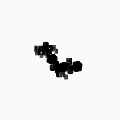 CCC(C(=O)Oc1ccc(SCC(C)(C)C(=O)O)cc1)c1ccc(NC(=O)c2ccccc2)cc1